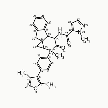 Cc1noc(C)c1-c1ccc([N+]2(C)C(=O)C(NC(=O)c3ccnn3C)C3c4ccccc4CC34CC42)cc1